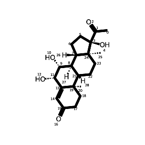 CC(=O)[C@@]1(O)CC[C@H]2[C@@H]3[C@@H](O)[C@@H](O)C4=CC(=O)CC[C@]4(C)[C@H]3CC[C@@]21C